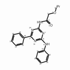 CC(C)OCC(=O)Nc1nc(Nc2ccccc2)nc(-c2ccccc2)n1